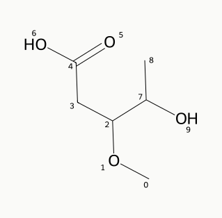 COC(CC(=O)O)C(C)O